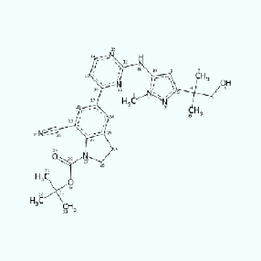 Cn1nc(C(C)(C)CO)cc1Nc1nccc(-c2cc(C#N)c3c(c2)CCN3C(=O)OC(C)(C)C)n1